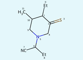 CCC1C(=S)CN(C(C#N)CC)CC1C